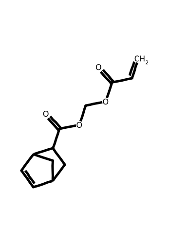 C=CC(=O)OCOC(=O)C1CC2C=CC1C2